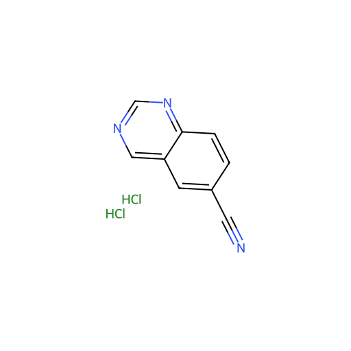 Cl.Cl.N#Cc1ccc2ncncc2c1